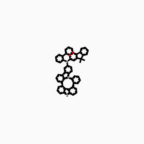 CC1(C)c2ccccc2-c2ccc(N(c3ccc4c(c3)c3cccc5c6cccc7sc8cccc(c9ccccc9n4c53)c8c76)c3ccccc3-c3ccccc3)cc21